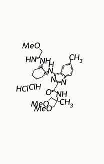 COCC(=N)N[C@@H]1CCCC[C@@H]1Nc1nc(C(=O)NC(C)(COC)COC)nc2ccc(C)cc12.Cl.Cl